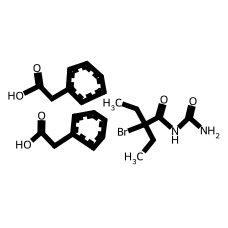 CCC(Br)(CC)C(=O)NC(N)=O.O=C(O)Cc1ccccc1.O=C(O)Cc1ccccc1